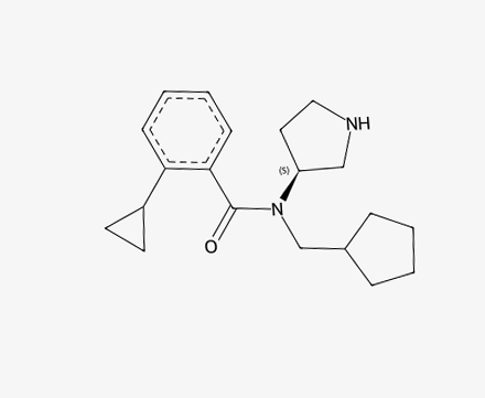 O=C(c1ccccc1C1CC1)N(CC1CCCC1)[C@H]1CCNC1